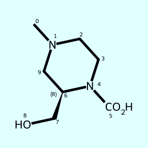 CN1CCN(C(=O)O)[C@@H](CO)C1